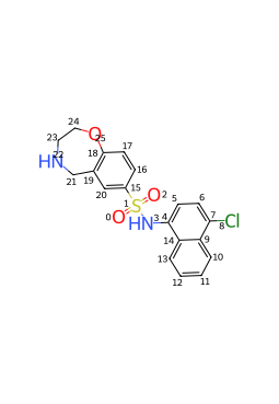 O=S(=O)(Nc1ccc(Cl)c2ccccc12)c1ccc2c(c1)CNCCO2